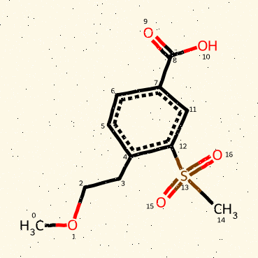 COCCc1ccc(C(=O)O)cc1S(C)(=O)=O